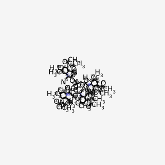 CC(=O)N(C(C)=O)C1=C(C#N)/C(=C(/C#N)C(=O)OCC(COC(=O)/C(C#N)=C2\CC(C)(C)CC(N(C(C)=O)C(C)=O)=C2C#N)(COC(=O)/C(C#N)=C2\CC(C)(C)CC(N(C(C)=O)C(C)=O)=C2C#N)COC(=O)/C(C#N)=C2\CC(C)(C)CC(N(C(C)=O)C(C)O)=C2C#N)CC(C)(C)C1